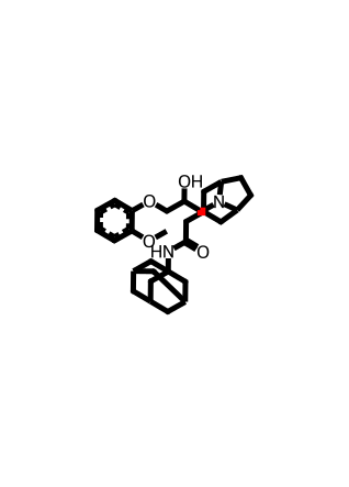 COc1ccccc1OCC(O)CN1C2CCC1CC(CC(=O)NC13CC4CC(CC(C4)C1)C3)C2